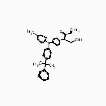 C=CC(=O)C(CO)c1ccc(N(c2ccc(C)cc2)c2ccc(C(C)(C)c3ccccc3)cc2)cc1